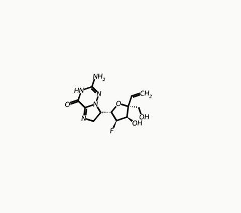 C=C[C@]1(CO)O[C@@H](C2CN=C3C(=O)NC(N)=NN32)[C@H](F)[C@@H]1O